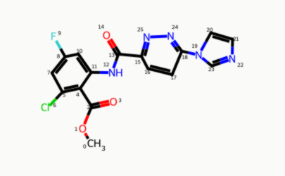 COC(=O)c1c(Cl)cc(F)cc1NC(=O)c1ccc(-n2ccnc2)nn1